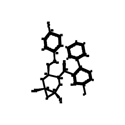 Cc1ccc(-c2ncccn2)c(C(=O)N2C[C@@H]3C[C@@H]3C[C@H]2COc2ccc(F)cn2)n1